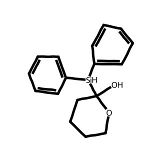 OC1([SiH](c2ccccc2)c2ccccc2)CCCCO1